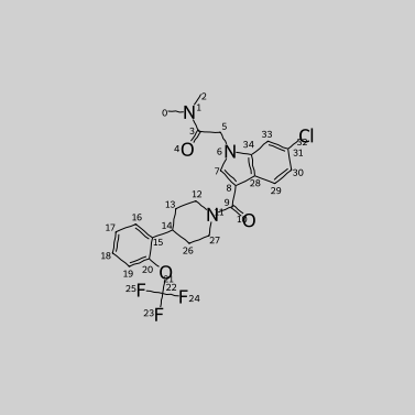 CN(C)C(=O)Cn1cc(C(=O)N2CCC(c3ccccc3OC(F)(F)F)CC2)c2ccc(Cl)cc21